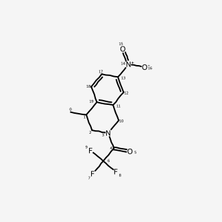 CC1CN(C(=O)C(F)(F)F)Cc2cc([N+](=O)[O-])ccc21